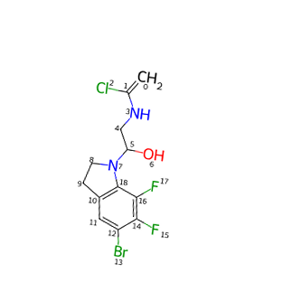 C=C(Cl)NCC(O)N1CCc2cc(Br)c(F)c(F)c21